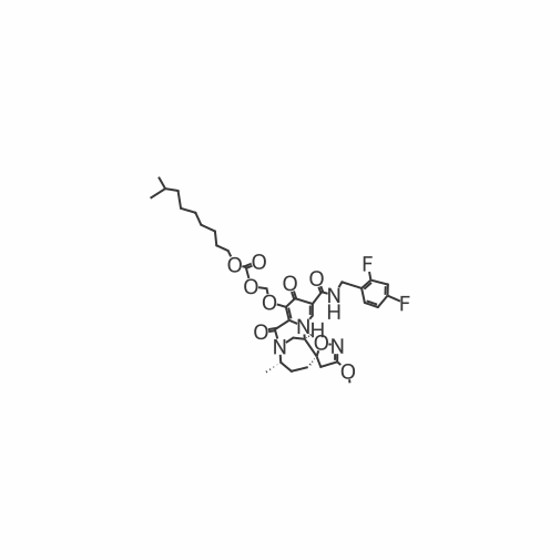 COC1=NO[C@@]2(CC[C@H](C)N3C[C@H]2n2cc(C(=O)NCc4ccc(F)cc4F)c(=O)c(OCOC(=O)OCCCCCCCC(C)C)c2C3=O)C1